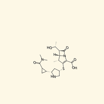 C[C@@H](O)[C@H]1C(=O)N2C(C(=O)O)=C(S[C@@H]3CN[C@H](C4CC4C(=O)N(C)C)C3)[C@H](C)[C@H]12